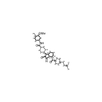 COc1cc(NC(=O)C2CCC(n3c(=O)[nH]c4c(C(=O)N5CCN(CCN(C)C)CC5)cccc43)CC2)ccc1C